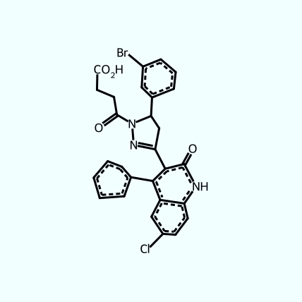 O=C(O)CCC(=O)N1N=C(c2c(-c3ccccc3)c3cc(Cl)ccc3[nH]c2=O)CC1c1cccc(Br)c1